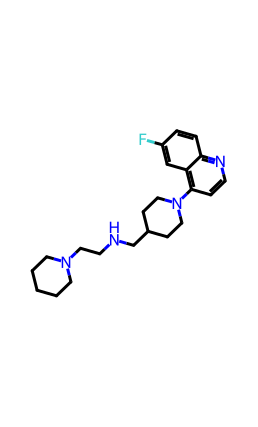 Fc1ccc2nccc(N3CCC(CNCCN4CCCCC4)CC3)c2c1